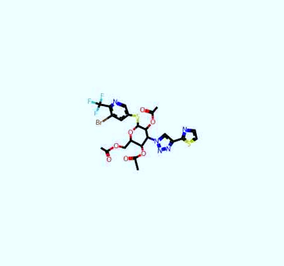 CC(=O)OCC1OC(Sc2cnc(C(F)(F)F)c(Br)c2)C(OC(C)=O)C(n2cc(-c3nccs3)nn2)C1OC(C)=O